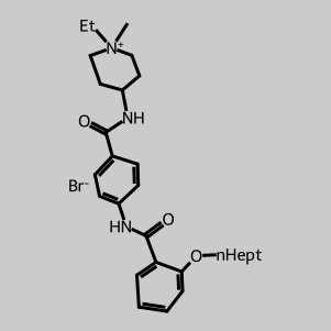 CCCCCCCOc1ccccc1C(=O)Nc1ccc(C(=O)NC2CC[N+](C)(CC)CC2)cc1.[Br-]